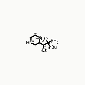 BC(CCCC)(C(=O)O)C(CC)C1CNCCO1